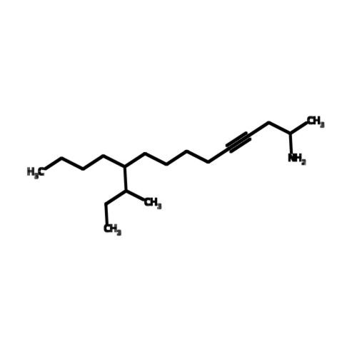 CCCCC(CCCCC#CCC(C)N)C(C)CC